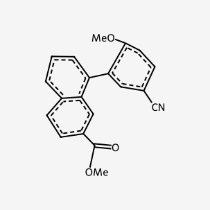 COC(=O)c1ccc2cccc(-c3cc(C#N)ccc3OC)c2c1